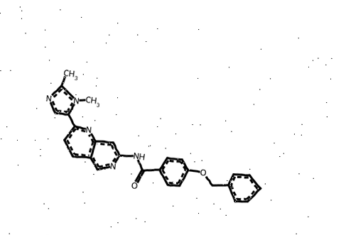 Cc1ncc(-c2ccc3cnc(NC(=O)c4ccc(OCc5ccccc5)cc4)cc3n2)n1C